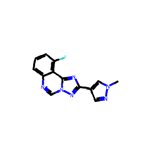 Cn1cc(-c2nc3c4c(F)cccc4ncn3n2)cn1